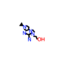 N#CC(C#N)=C1N(CCCO)CCN1C1CCN(C2CC2)CC1